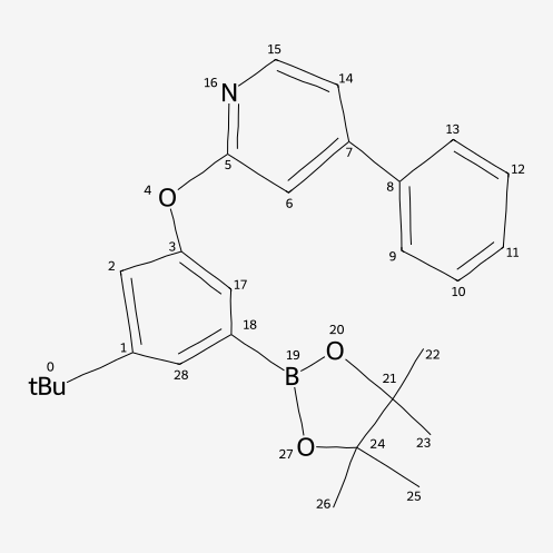 CC(C)(C)c1cc(Oc2cc(-c3ccccc3)ccn2)cc(B2OC(C)(C)C(C)(C)O2)c1